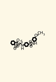 CCOc1ccc(NS(=O)(=O)c2ccc(NC(=S)NC(=O)c3ccccc3[N+](=O)[O-])cc2)cc1